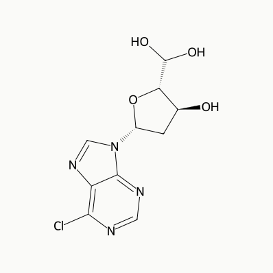 OC(O)[C@H]1O[C@@H](n2cnc3c(Cl)ncnc32)C[C@@H]1O